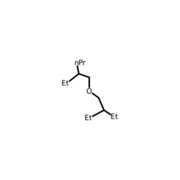 CCCC(CC)COCC(CC)CC